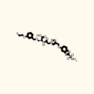 NS(=O)(=O)c1nc2ccc(OCc3cn(CC(=O)N[C@@H](COCc4cccc(OCCF)c4)C(=O)O)nn3)cc2s1